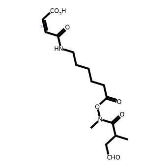 CC(CC=O)C(=O)N(C)OC(=O)CCCCCNC(=O)/C=C\C(=O)O